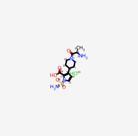 C[C@@H](N)C(=O)N1CCC(c2ccn(S(N)(=O)=O)c2C(=O)O)CC1.Cl